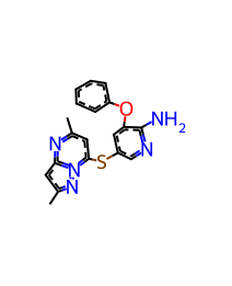 Cc1cc(Sc2cnc(N)c(Oc3ccccc3)c2)n2nc(C)cc2n1